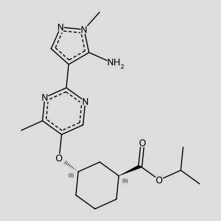 Cc1nc(-c2cnn(C)c2N)ncc1O[C@H]1CCC[C@H](C(=O)OC(C)C)C1